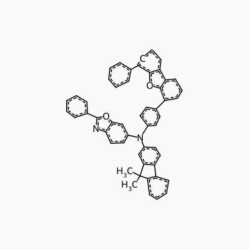 CC1(C)c2ccccc2-c2ccc(N(c3ccc(-c4cccc5c4oc4c(-c6ccccc6)cccc45)cc3)c3ccc4nc(-c5ccccc5)oc4c3)cc21